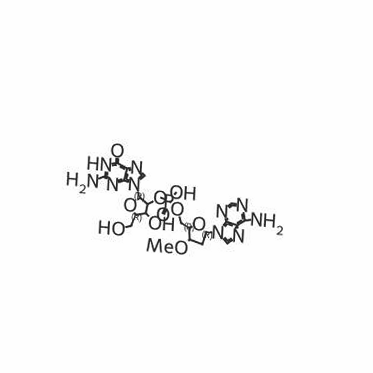 COC1C[C@H](n2cnc3c(N)ncnc32)O[C@@H]1COP(=O)(O)OC1C(O)[C@@H](CO)O[C@H]1n1cnc2c(=O)[nH]c(N)nc21